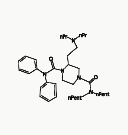 CCCCCN(CCCCC)C(=O)N1CCN(C(=O)N(c2ccccc2)c2ccccc2)C(CCN(CCC)CCC)C1